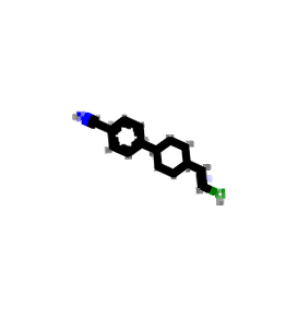 N#Cc1ccc(C2CCC(/C=C/Cl)CC2)cc1